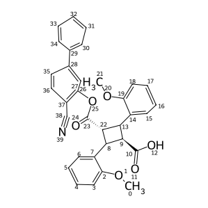 COc1ccccc1C1[C@H](C(=O)O)C(c2ccccc2OC)[C@H]1C(=O)Oc1cc(-c2ccccc2)ccc1C#N